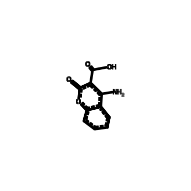 Nc1c(C(=O)O)c(=O)oc2ccccc12